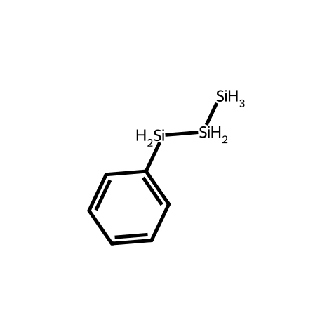 [SiH3][SiH2][SiH2]c1ccccc1